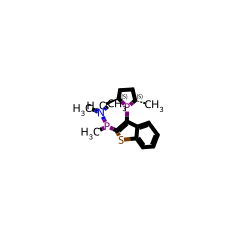 C[C@H]1CC[C@H](C)P1c1c(P(C)N(C)C)sc2ccccc12